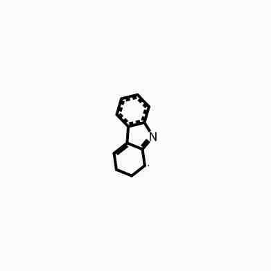 [CH]1CCC=C2C1=Nc1ccccc12